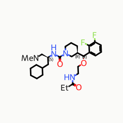 CCC(=O)NCCO[C@@H](c1cccc(F)c1F)[C@@H]1CCCN(C(=O)N[C@H](CNC)CC2CCCCC2)C1